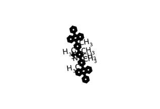 Cc1cc(-c2c(C)c(C)c(-c3cc(C)c(-c4c5ccccc5c(-c5ccccc5)c5ccccc45)cc3C)c3nsnc23)c(C)cc1-c1c2ccccc2c(-c2ccccc2)c2ccccc12